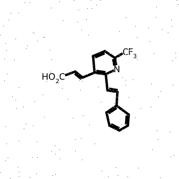 O=C(O)C=Cc1ccc(C(F)(F)F)nc1C=Cc1ccccc1